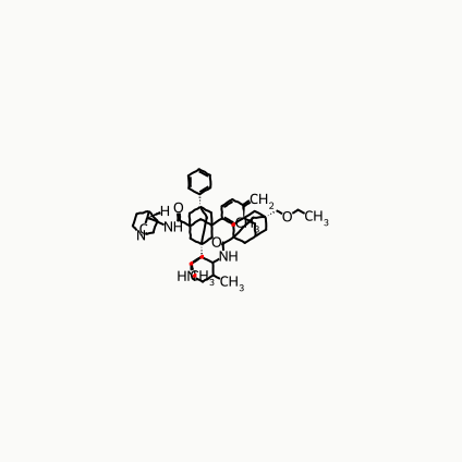 C=C(/C=C\C(=C/C)C12CC3(C(=O)N[C@@H]4CN5CCC4CC5)C[C@](CCC)(C1)C[C@@](c1ccccc1)(C3)C2)[C@]12CC3CC(C(=O)NC4CCNCC4C)(C[C@](COCC)(C3)C1)C2